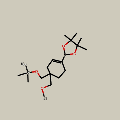 CCOCC1(CO[Si](C)(C)C(C)(C)C)CC=C(B2OC(C)(C)C(C)(C)O2)CC1